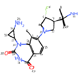 Cc1c(N2C[C@H](F)[C@@H](C(C)(C)N)C2)ccc2c(=O)[nH]c(=O)n(C3CC3N)c12